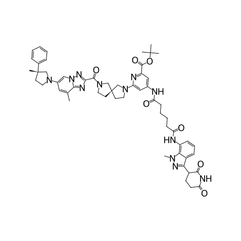 Cc1cc(N2CC[C@](C)(c3ccccc3)C2)cn2nc(C(=O)N3CC[C@@]4(CCN(c5cc(NC(=O)CCCCC(=O)Nc6cccc7c(C8CCC(=O)NC8=O)nn(C)c67)cc(C(=O)OC(C)(C)C)n5)C4)C3)nc12